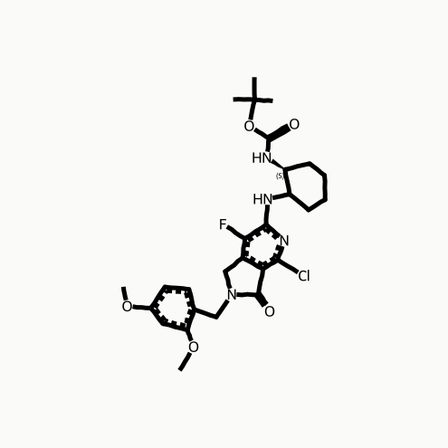 COc1ccc(CN2Cc3c(F)c(NC4CCCC[C@@H]4NC(=O)OC(C)(C)C)nc(Cl)c3C2=O)c(OC)c1